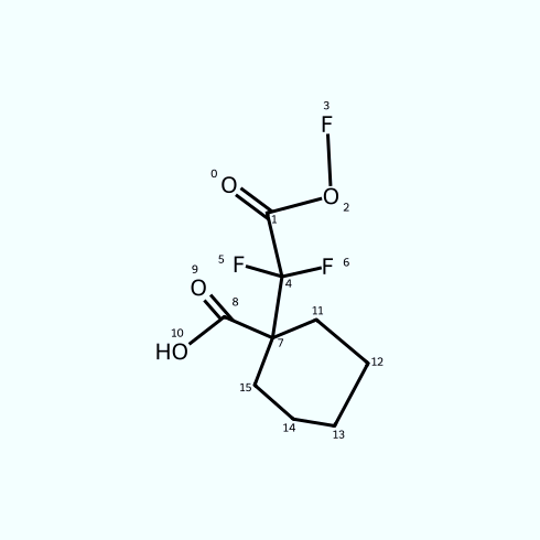 O=C(OF)C(F)(F)C1(C(=O)O)CCCCC1